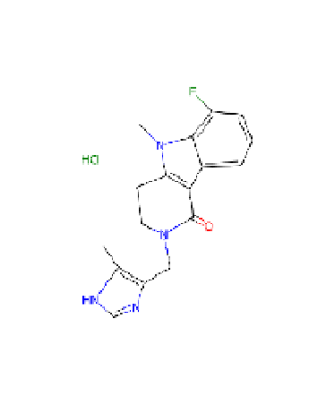 Cc1[nH]cnc1CN1CCc2c(c3cccc(F)c3n2C)C1=O.Cl